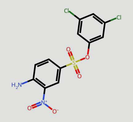 Nc1ccc(S(=O)(=O)Oc2cc(Cl)cc(Cl)c2)cc1[N+](=O)[O-]